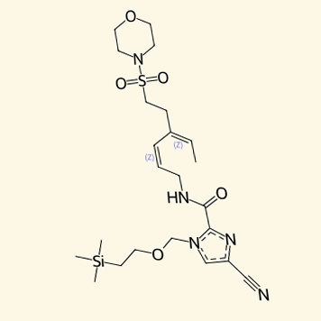 C/C=C(\C=C/CNC(=O)c1nc(C#N)cn1COCC[Si](C)(C)C)CCS(=O)(=O)N1CCOCC1